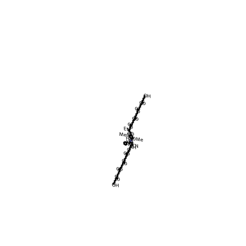 CCN(CCOC(=O)CCCCCOC(=O)CCCCCOC(=O)CCCCCOC(=O)CCCCCO)CCS(=O)(=O)c1cc(OC)c(/N=N/c2c(Nc3ccccc3)nc(NCCOCCOC(=O)CCCCCOC(=O)CCCCCOC(=O)CCCCCOC(=O)CCCCCO)c(C#N)c2C)cc1OC